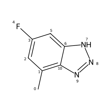 Cc1cc(F)cc2[nH]nnc12